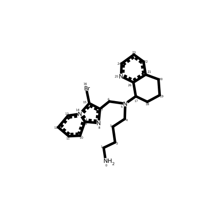 NCCCCN(Cc1nc2ccccn2c1Br)C1CCCc2cccnc21